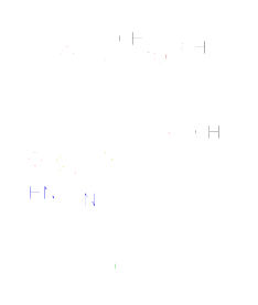 C=C(C(=O)c1ccc(S(=O)(=O)Nc2ccc(Cl)cn2)cc1)c1cc(-c2cccs2)c(OC)cc1OC